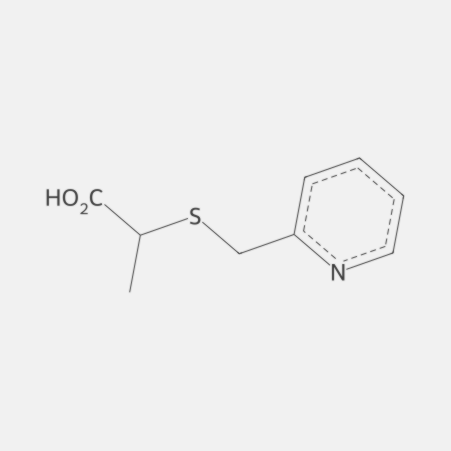 CC(SCc1ccccn1)C(=O)O